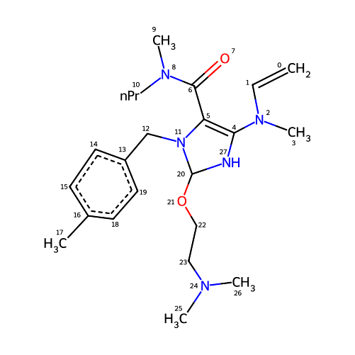 C=CN(C)C1=C(C(=O)N(C)CCC)N(Cc2ccc(C)cc2)C(OCCN(C)C)N1